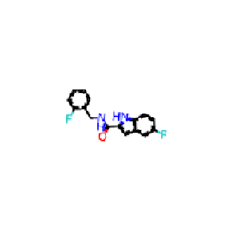 O=C(NCc1ccccc1F)c1cc2cc(F)ccc2[nH]1